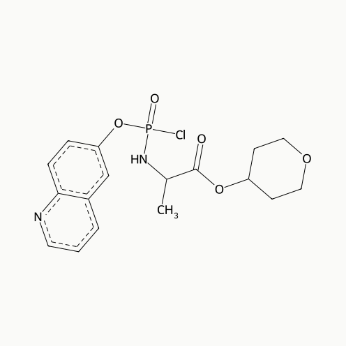 CC(NP(=O)(Cl)Oc1ccc2ncccc2c1)C(=O)OC1CCOCC1